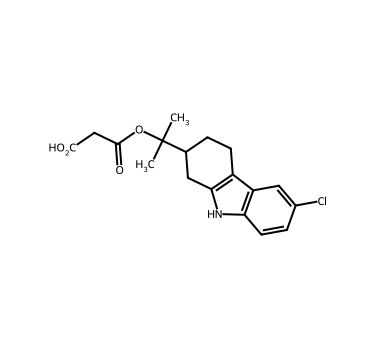 CC(C)(OC(=O)CC(=O)O)C1CCc2c([nH]c3ccc(Cl)cc23)C1